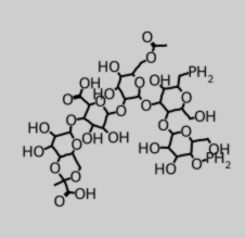 CC(=O)OCC1OC(OC2C(O)C(CP)OC(CO)C2OC2OC(CO)C(OP)C(O)C2O)C(OC2OC(C(=O)O)C(OC3OC4COC(C)(C(=O)O)OC4C(O)C3O)C(O)C2O)C(O)C1O